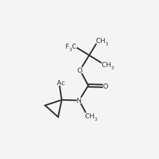 CC(=O)C1(N(C)C(=O)OC(C)(C)C(F)(F)F)CC1